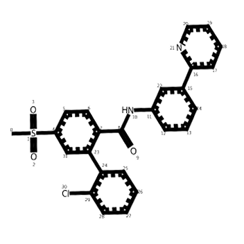 CS(=O)(=O)c1ccc(C(=O)Nc2cccc(-c3ccccn3)c2)c(-c2ccccc2Cl)c1